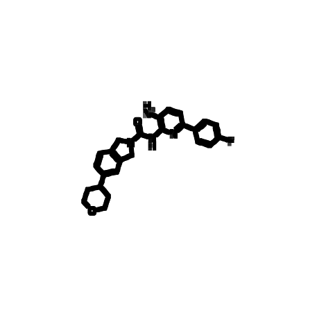 Nc1ccc(-c2ccc(F)cc2)nc1NC(=O)N1Cc2ccc(C3CCOCC3)cc2C1